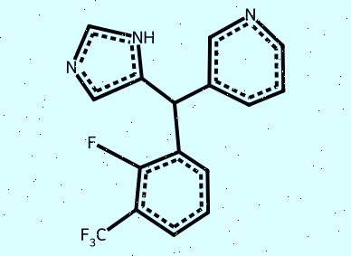 Fc1c(C(c2cccnc2)c2cnc[nH]2)cccc1C(F)(F)F